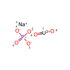 O=P([O-])([O-])[O-].[Na+].[O]=[U+2]=[O]